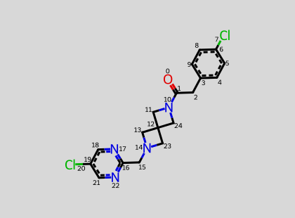 O=C(Cc1ccc(Cl)cc1)N1CC2(CN(Cc3ncc(Cl)cn3)C2)C1